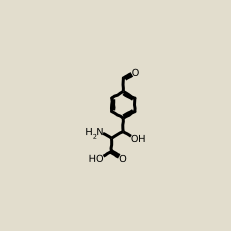 NC(C(=O)O)C(O)c1ccc(C=O)cc1